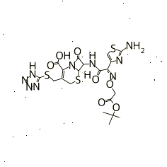 CC(C)(C)OC(=O)CO/N=C(\C(=O)NC1C(=O)N2C(C(=O)O)=C(CSc3nnn[nH]3)CS[C@H]12)c1csc(N)n1